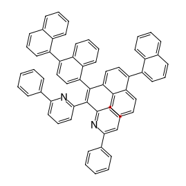 c1ccc(-c2cccc(C(=C(c3ccc(-c4cccc5ccccc45)c4ccccc34)c3ccc(-c4cccc5ccccc45)c4ccccc34)c3cccc(-c4ccccc4)n3)n2)cc1